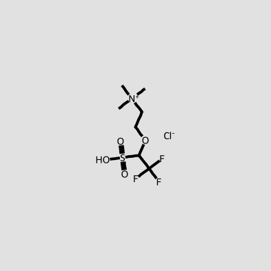 C[N+](C)(C)CCOC(C(F)(F)F)S(=O)(=O)O.[Cl-]